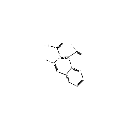 NC(=O)c1c(Br)cc2ccccc2c1C(N)=O